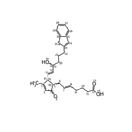 CC1=CC(=O)[C@H](CC=CCCCC(=O)O)[C@H]1C=C[C@@H](O)CCCc1cc2ccccc2s1